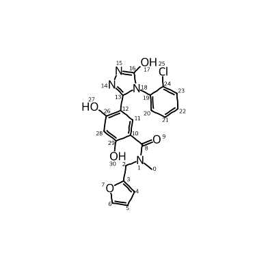 CN(Cc1ccco1)C(=O)c1cc(-c2nnc(O)n2-c2ccccc2Cl)c(O)cc1O